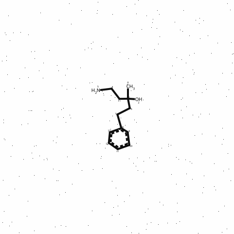 CC(O)(CCN)CCc1ccccc1